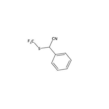 N#CC(SC(F)(F)F)c1ccccc1